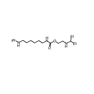 CCC(CC)NCCOC(=O)NCCCCCCNC(C)C